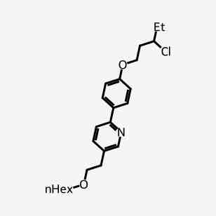 CCCCCCOCCc1ccc(-c2ccc(OCCC(Cl)CC)cc2)nc1